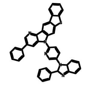 C1=CC2=NC(c3ccccc3)N(c3ccc(-n4c5cc6sc7ccccc7c6cc5c5ncc(-c6ccccc6)cc54)nc3)C2C=C1